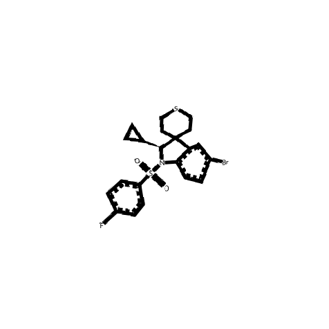 O=S(=O)(c1ccc(F)cc1)N1c2ccc(Br)cc2C2(CCSCC2)[C@@H]1C1CC1